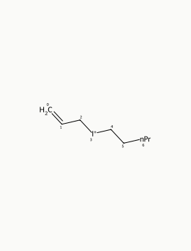 C=CC[I+]CCCCC